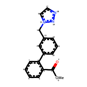 COC(=O)c1ccccc1-c1cccc(Cn2ccnn2)c1